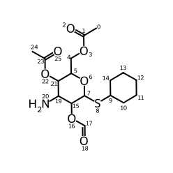 CC(=O)OCC1OC(SC2CCCCC2)C(OC=O)C(N)C1OC(C)=O